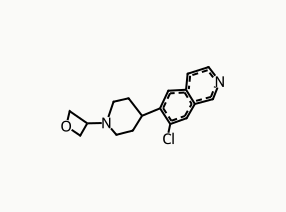 Clc1cc2cnccc2cc1C1CCN(C2COC2)CC1